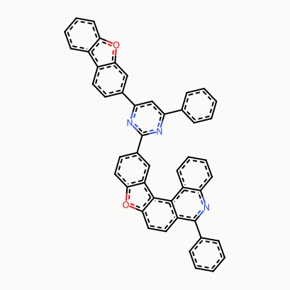 c1ccc(-c2cc(-c3ccc4c(c3)oc3ccccc34)nc(-c3ccc4oc5ccc6c(-c7ccccc7)nc7ccccc7c6c5c4c3)n2)cc1